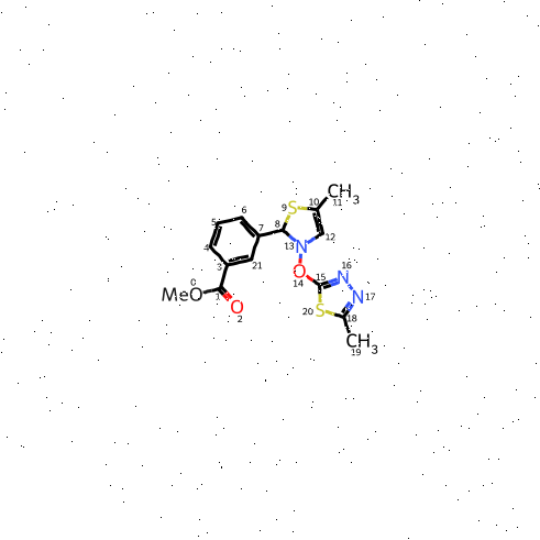 COC(=O)c1cccc(C2SC(C)=CN2Oc2nnc(C)s2)c1